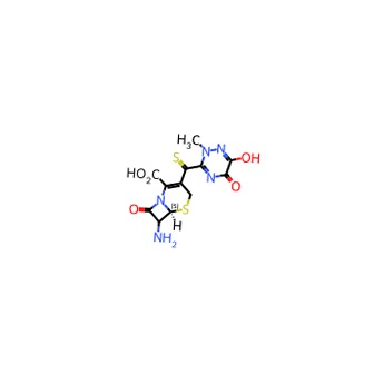 Cn1nc(O)c(=O)nc1C(=S)C1=C(C(=O)O)N2C(=O)C(N)[C@@H]2SC1